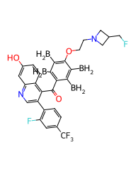 Bc1c(B)c(C(=O)c2c(-c3ccc(C(F)(F)F)cc3F)cnc3cc(O)ccc23)c(B)c(B)c1OCCN1CC(CF)C1